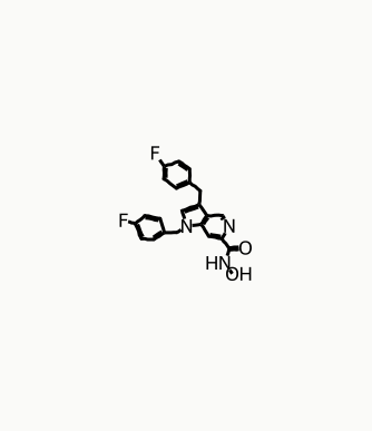 O=C(NO)c1cc2c(cn1)c(Cc1ccc(F)cc1)cn2Cc1ccc(F)cc1